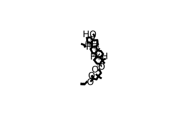 C=CCOC(=O)CC(C)(C)CC(=O)O[C@H]1CC[C@]2(C)[C@H]3CC[C@@H]4[C@H]5[C@H](C(=C)C)CC[C@]5(CO)CC[C@@]4(C)[C@]3(C)CC[C@H]2C1(C)C